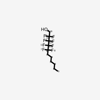 CCCCCCC(F)(F)C(F)(F)C(F)(F)C(F)(F)CO